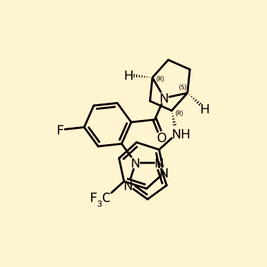 O=C(c1ccc(F)cc1-n1nccn1)N1[C@@H]2CC[C@H]1[C@H](Nc1ccc(C(F)(F)F)cn1)C2